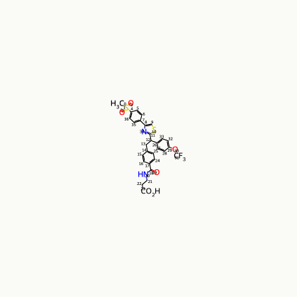 CS(=O)(=O)c1ccc(-c2csc(C(Cc3ccc(C(=O)NCCC(=O)O)cc3)c3ccc(OC(F)(F)F)cc3)n2)cc1